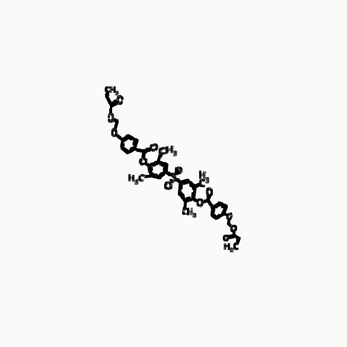 C=CC(=O)OCOc1ccc(C(=O)Oc2c(C)cc(S(=O)(=O)c3cc(C)c(OC(=O)c4ccc(OCOC(=O)C=C)cc4)c(C)c3)cc2C)cc1